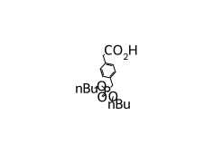 CCCCOP(=O)(Cc1ccc(CC(=O)O)cc1)OCCCC